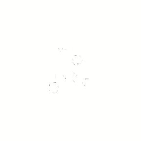 COc1ccc(CC(NC(=O)[C@@H](N)Cc2ccccc2)C([NH])=O)cc1